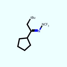 CC(C)(C)C/C(=N\NC(F)(F)F)C1CCCC1